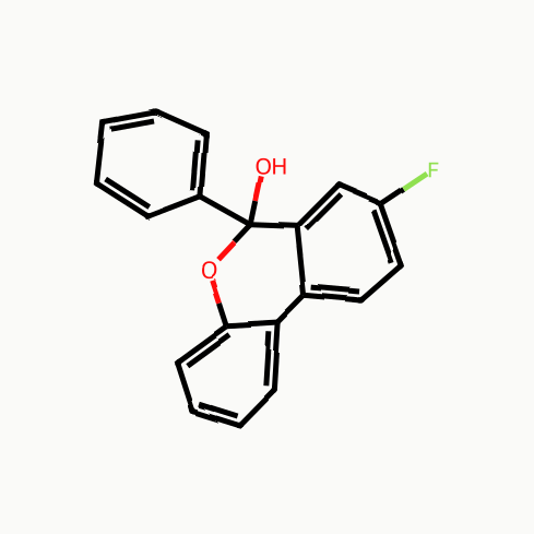 OC1(c2ccccc2)Oc2ccccc2-c2ccc(F)cc21